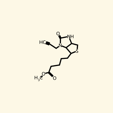 C#CCN1C(=O)NC2CSC(CCCCC(=O)OC)C21